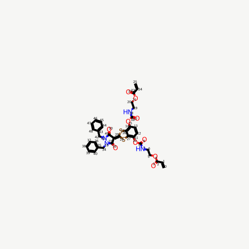 C=CC(=O)OCCNC(=O)Oc1ccc(OC(=O)NCCOC(=O)C=C)c2c1SC(=C1C(=O)N(Cc3ccccc3)N(Cc3ccccc3)C1=O)S2